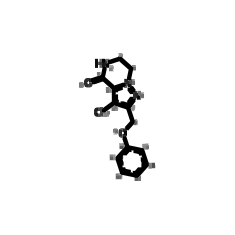 O=C1NCCn2nc(COc3ccccc3)c(Cl)c21